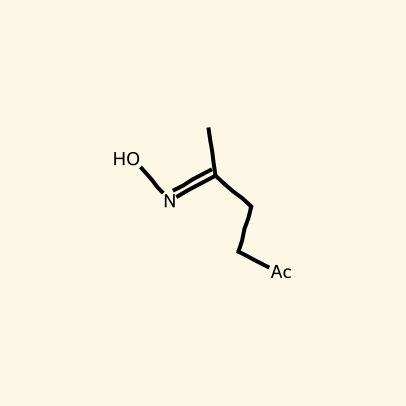 CC(=O)CCC(C)=NO